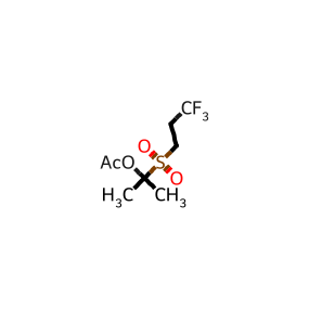 CC(=O)OC(C)(C)S(=O)(=O)CCC(F)(F)F